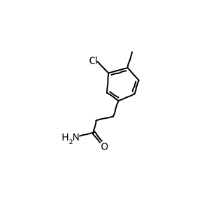 Cc1ccc(CCC(N)=O)cc1Cl